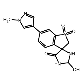 Cn1cc(-c2ccc3c(c2)S(=O)(=O)CC32NC(O)NC2=O)cn1